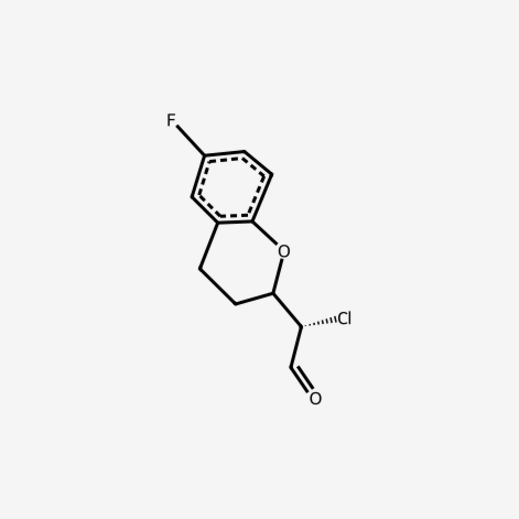 O=C[C@@H](Cl)C1CCc2cc(F)ccc2O1